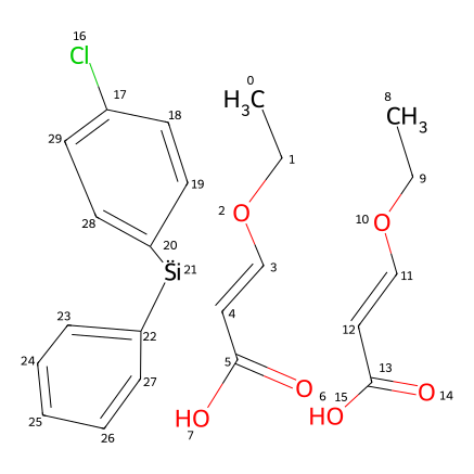 CCOC=CC(=O)O.CCOC=CC(=O)O.Clc1ccc([Si]c2ccccc2)cc1